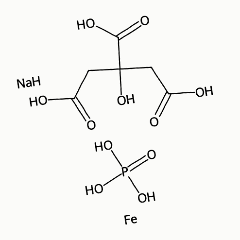 O=C(O)CC(O)(CC(=O)O)C(=O)O.O=P(O)(O)O.[Fe].[NaH]